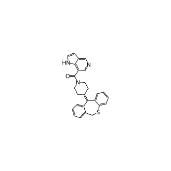 O=C(c1cncc2cc[nH]c12)N1CCC(=C2c3ccccc3CSc3ccccc32)CC1